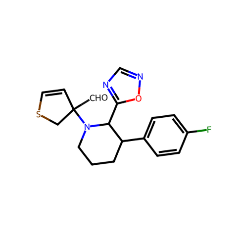 O=CC1(N2CCCC(c3ccc(F)cc3)C2c2ncno2)C=CSC1